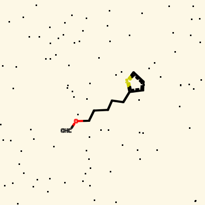 O=COCCCCCc1cccs1